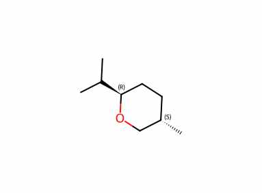 CC(C)[C@H]1CC[C@H](C)CO1